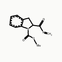 C=NC(=O)C1Cc2ccccc2N1C(=O)OC(C)(C)C